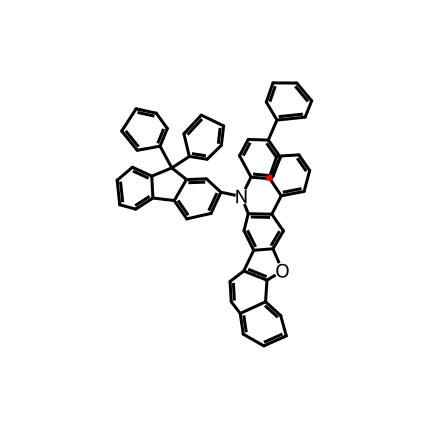 c1ccc(-c2ccc(N(c3ccc4c(c3)C(c3ccccc3)(c3ccccc3)c3ccccc3-4)c3cc4c(cc3-c3ccccc3)oc3c5ccccc5ccc43)cc2)cc1